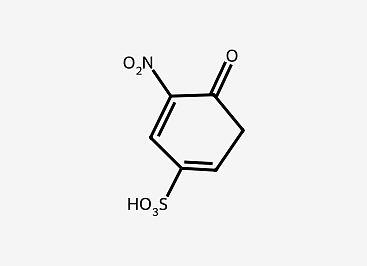 O=C1CC=C(S(=O)(=O)O)C=C1[N+](=O)[O-]